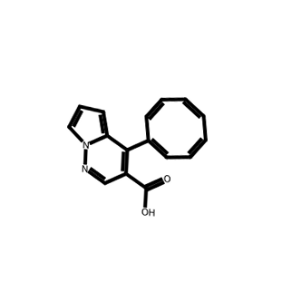 O=C(O)c1cnn2cccc2c1C1=C/C=C\C=C/C=C\1